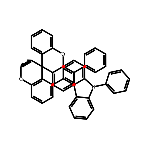 c1ccc(-c2cccc3c2Oc2ccccc2C32c3ccccc3Oc3cccc(-c4cccc5c4c4ccccc4n5-c4ccccc4)c32)cc1